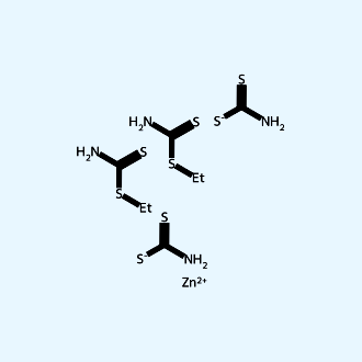 CCSC(N)=S.CCSC(N)=S.NC(=S)[S-].NC(=S)[S-].[Zn+2]